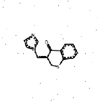 O=C1C(=Cn2ccnc2)CSc2ccccc21